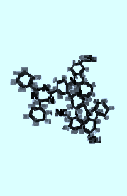 CC(C)(C)c1ccc2c(c1)c1ccccc1n2-c1ccc(-c2nc(-c3ccccc3)nc(-c3ccccc3)n2)cc1-c1ccc(-n2c3ccccc3c3cc(C(C)(C)C)ccc32)c(-c2ccccc2C#N)c1